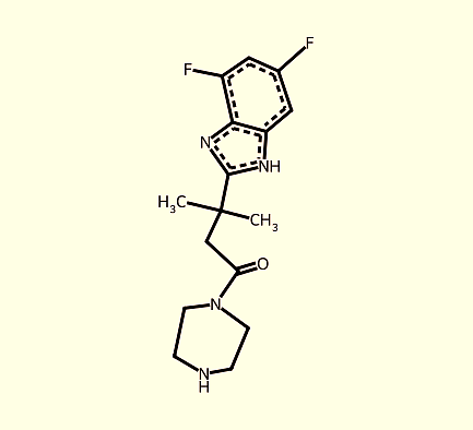 CC(C)(CC(=O)N1CCNCC1)c1nc2c(F)cc(F)cc2[nH]1